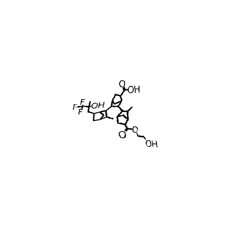 CC1C2CC(CC2C(=O)OCCO)C1C1C2CC(CC2C(=O)O)C1C1C(C)C2CC(CC(C)(O)C(F)(F)F)C1C2